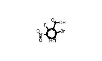 Cl.O=C(O)c1c(Br)ccc([N+](=O)[O-])c1F